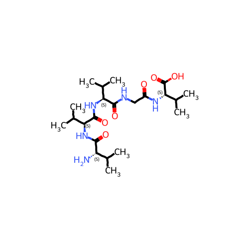 CC(C)[C@H](N)C(=O)N[C@H](C(=O)N[C@H](C(=O)NCC(=O)N[C@H](C(=O)O)C(C)C)C(C)C)C(C)C